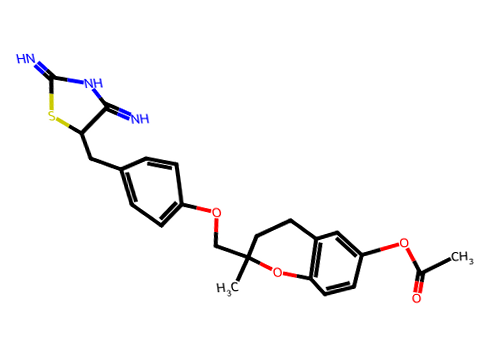 CC(=O)Oc1ccc2c(c1)CCC(C)(COc1ccc(CC3SC(=N)NC3=N)cc1)O2